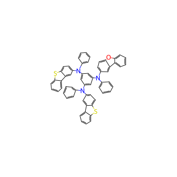 c1ccc(N(c2cc(N(c3ccccc3)c3ccc4sc5ccccc5c4c3)cc(N(c3ccccc3)c3ccc4sc5ccccc5c4c3)c2)c2ccc3oc4ccccc4c3c2)cc1